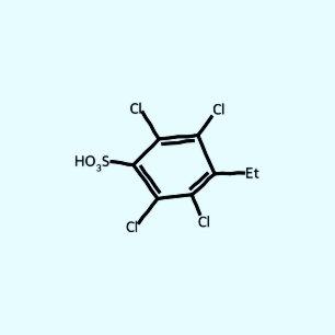 CCc1c(Cl)c(Cl)c(S(=O)(=O)O)c(Cl)c1Cl